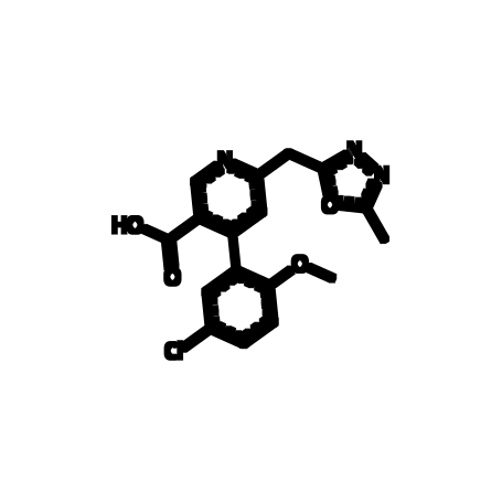 COc1ccc(Cl)cc1-c1cc(Cc2nnc(C)o2)ncc1C(=O)O